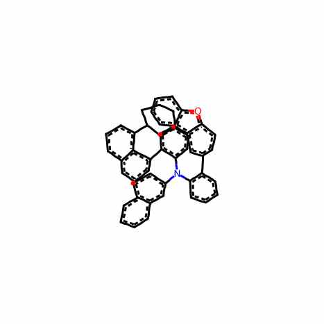 c1ccc(N(c2ccc3ccccc3c2)c2ccccc2-c2cccc3cccc(C4CCCCC4)c23)c(-c2ccc3oc4ccccc4c3c2)c1